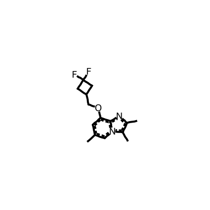 Cc1cc(OCC2CC(F)(F)C2)c2nc(C)c(C)n2c1